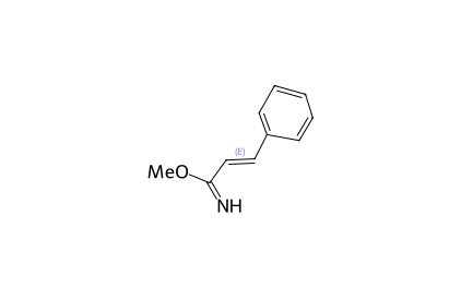 COC(=N)/C=C/c1ccccc1